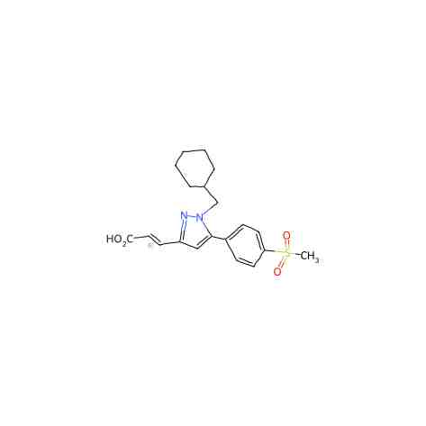 CS(=O)(=O)c1ccc(-c2cc(/C=C/C(=O)O)nn2CC2CCCCC2)cc1